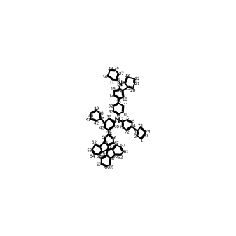 c1ccc(-c2ccc(N(c3ccc(-c4ccc5c(c4)c4ccccc4n5-c4ccccc4)cc3)c3cc(-c4ccccc4)cc(-c4ccc5c(c4)-c4ccccc4C54c5ccccc5-c5ccccc54)c3)cc2)cc1